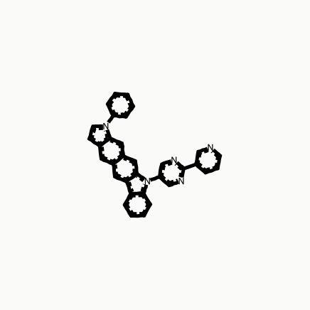 c1ccc(-n2ccc3cc4cc5c6ccccc6n(-c6cnc(-c7cccnc7)nc6)c5cc4cc32)cc1